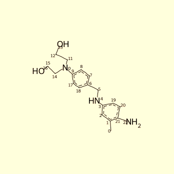 Cc1cc(NCc2ccc(N(CCO)CCO)cc2)ccc1N